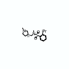 CC(C)c1ccccc1S(=O)(=O)N(C)C[C@H]1CCN(C)C1